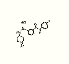 CC(=O)N1CCC(N[C@@H]2C[C@H]2c2cccc(C(=O)Nc3ccc(F)cc3)c2)CC1.Cl